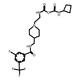 O=C(NCCN1CCC(CNC(=O)c2cc(F)cc(C(F)(F)F)c2)CC1)OC(=O)NC1CCC1